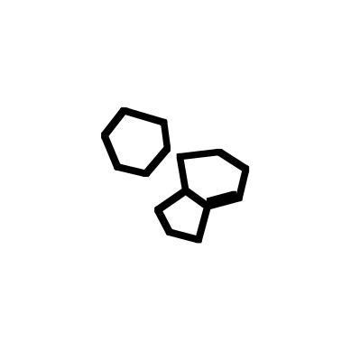 C1=C2CCCC2CCC1.C1CCCCC1